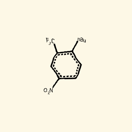 CCCCc1ccc([N+](=O)[O-])cc1C(F)(F)F